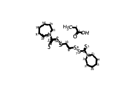 CCC(=O)O.S=C(SSCCSSC(=S)N1CCCCCC1)N1CCCCCC1